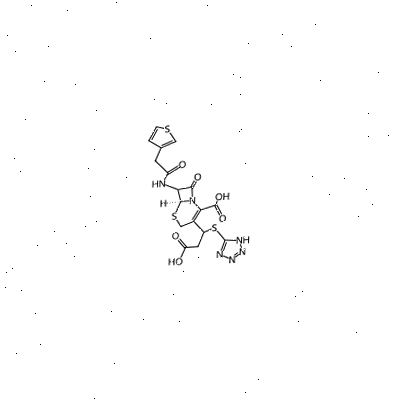 O=C(O)CC(Sc1nnn[nH]1)C1=C(C(=O)O)N2C(=O)C(NC(=O)Cc3ccsc3)[C@@H]2SC1